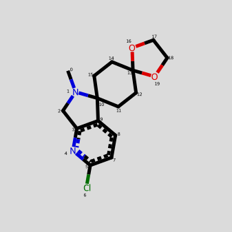 CN1Cc2nc(Cl)ccc2C12CCC1(CC2)OCCO1